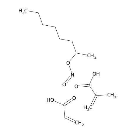 C=C(C)C(=O)O.C=CC(=O)O.CCCCCCC(C)ON=O